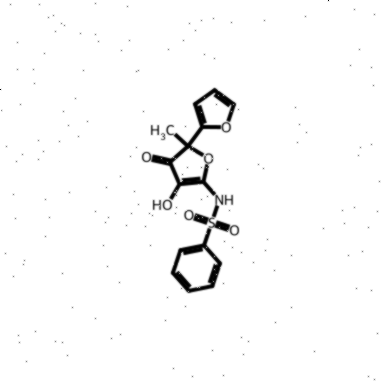 CC1(c2ccco2)OC(NS(=O)(=O)c2ccccc2)=C(O)C1=O